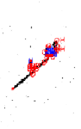 CCCCCCCCCCCCCCCC(=O)OC[C@H](COP(=O)(O)OCCN(C)C)OC(=O)CCCCOCCCC[C@H](NC(=O)[C@H](C)NC(=O)[C@H](C)NC(C)=O)C(=O)N[C@@H](C)C(=O)N[C@@H](Cc1ccc(O)cc1)C(=O)O